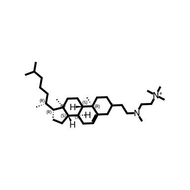 CC(C)CCC[C@@H](C)[C@H]1CC[C@H]2[C@@H]3CC=C4C[C](CCN(C)CC[N+](C)(C)C)CC[C@]4(C)[C@H]3CC[C@]12C